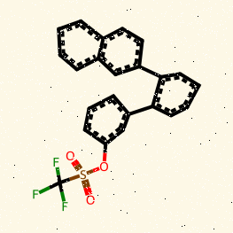 O=S(=O)(Oc1cccc(-c2ccccc2-c2ccc3ccccc3c2)c1)C(F)(F)F